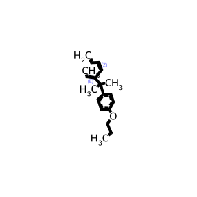 C=C/C=C\C(=C/C)C(C)(C)c1ccc(OCCC)cc1